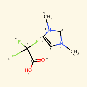 CN1C=CN(C)C1.O=C(O)C(F)(F)F